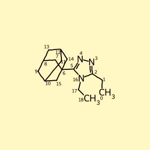 CCc1nnc(C23CC4CC(CC(C4)C2)C3)n1CC